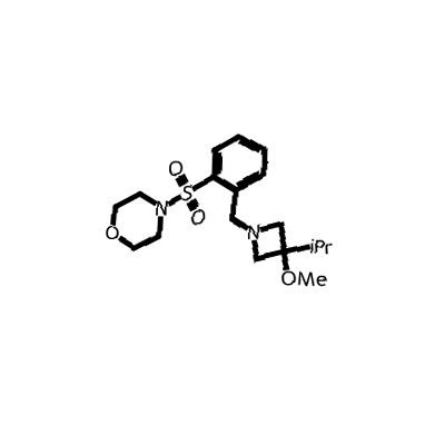 COC1(C(C)C)CN(Cc2ccccc2S(=O)(=O)N2CCOCC2)C1